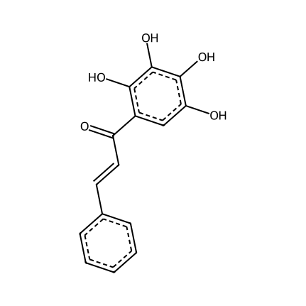 O=C(C=Cc1ccccc1)c1cc(O)c(O)c(O)c1O